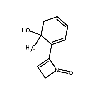 CC1(O)CC=CC=C1C1=CC[N+]1=O